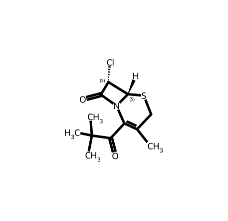 CC1=C(C(=O)C(C)(C)C)N2C(=O)[C@H](Cl)[C@@H]2SC1